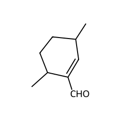 CC1C=C(C=O)C(C)CC1